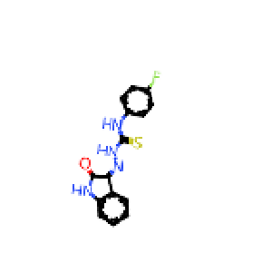 O=C1Nc2ccccc2/C1=N/NC(=S)Nc1ccc(F)cc1